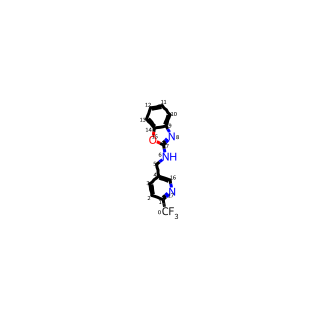 FC(F)(F)c1ccc(CNc2nc3ccccc3o2)cn1